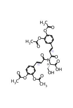 CC(=O)Oc1ccc(/C=C/C(=O)N(C(=O)/C=C/c2ccc(OC(C)=O)c(OC(C)=O)c2)[C@@H](CO)C(=O)O)cc1OC(C)=O